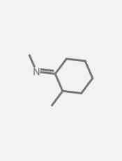 CN=C1CCCCC1C